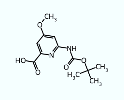 COc1cc(NC(=O)OC(C)(C)C)nc(C(=O)O)c1